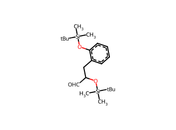 CC(C)(C)[Si](C)(C)Oc1ccccc1CC(C=O)O[Si](C)(C)C(C)(C)C